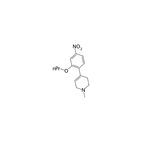 CCCOc1cc([N+](=O)[O-])ccc1C1=CCN(C)CC1